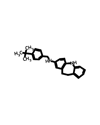 CC(C)(C)c1ccc(CNc2ccc3c(c2)CCc2ccccc2N3)cc1